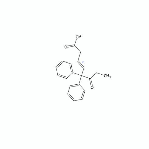 CCC(=O)C(/C=C/CC(=O)O)(c1ccccc1)c1ccccc1